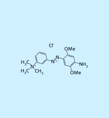 COc1cc(/N=N/c2cccc([N+](C)(C)C)c2)c(OC)cc1N.[Cl-]